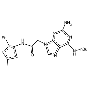 CCCCNc1nc(N)nc2c1ncn2CC(=O)Nc1cc(C)nn1CC